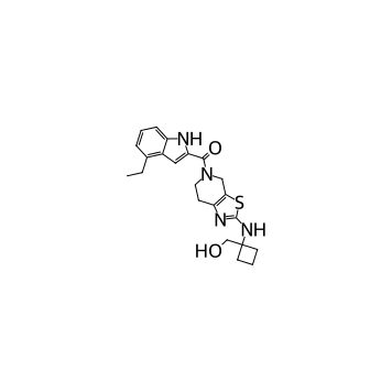 CCc1cccc2[nH]c(C(=O)N3CCc4nc(NC5(CO)CCC5)sc4C3)cc12